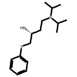 CC(C)N(CC[C@@H]([NH])CSc1ccccc1)C(C)C